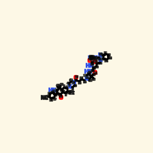 CCc1cc2c(cc1N1CCN(C(=O)CCCN3C[C@H](NC(=O)[C@H](CCCn4c(N)nc5ccccc54)NC(=O)OC(C)(C)C)C(C)(C)C3)CC1)C(C)(C)c1[nH]c3cc(C#N)ccc3c1C2=O